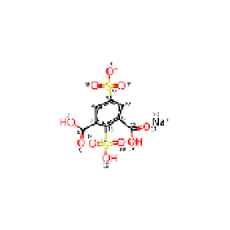 O=C(O)c1cc(S(=O)(=O)[O-])cc(C(=O)O)c1S(=O)(=O)O.[Na+]